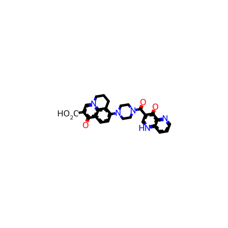 O=C(O)c1cn2c3c(c(N4CCN(C(=O)c5c[nH]c6cccnc6c5=O)CC4)ccc3c1=O)CCC2